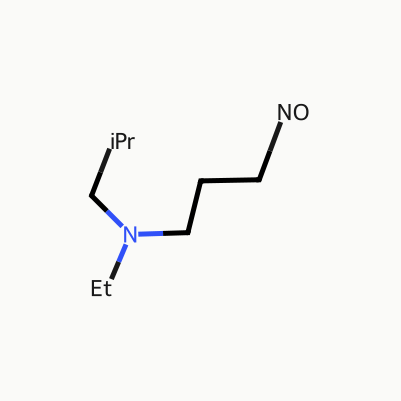 CCN(CCCN=O)CC(C)C